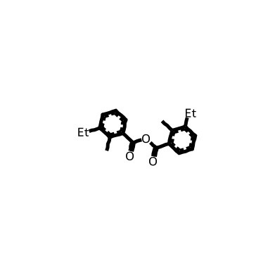 CCc1cccc(C(=O)OC(=O)c2cccc(CC)c2C)c1C